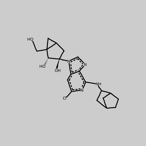 OCC12CC1C[C@](O)(n1cnc3c(NC4CC5CCC4C5)nc(Cl)cc31)[C@@H]2O